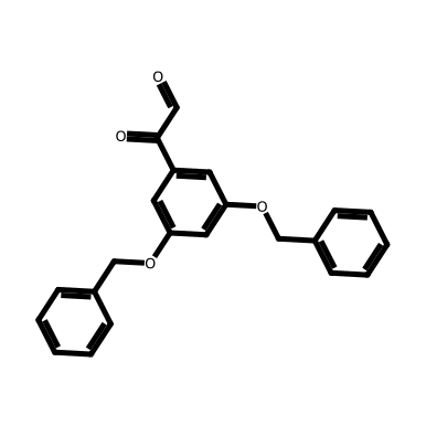 O=CC(=O)c1cc(OCc2ccccc2)cc(OCc2ccccc2)c1